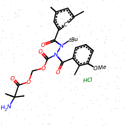 COc1cccc(C(=O)N(C(=O)OCOC(=O)C(C)(C)N)N(C(=O)c2cc(C)cc(C)c2)C(C)(C)C)c1C.Cl